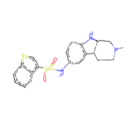 CN1CCC2c3cc(NS(=O)(=O)c4csc5ccccc45)ccc3NC2C1